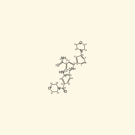 NC(=O)c1cc(-c2cccc(N3CCOCC3)c2)nc2c1[nH]c1cc(C(=O)N3CCOCC3)ccc12